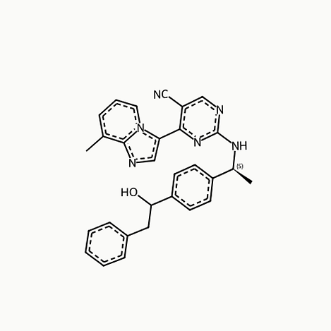 Cc1cccn2c(-c3nc(N[C@@H](C)c4ccc(C(O)Cc5ccccc5)cc4)ncc3C#N)cnc12